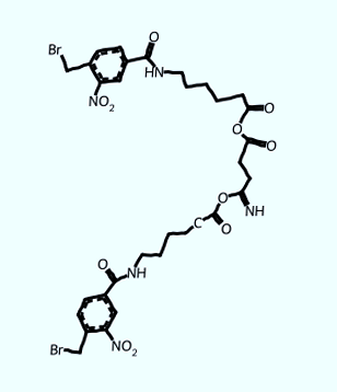 N=C(CCC(=O)OC(=O)CCCCCNC(=O)c1ccc(CBr)c([N+](=O)[O-])c1)OC(=O)CCCCCNC(=O)c1ccc(CBr)c([N+](=O)[O-])c1